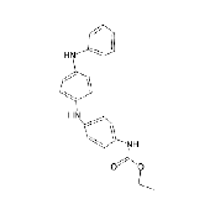 CCOC(=O)Nc1ccc(Nc2ccc(Nc3ccccc3)cc2)cc1